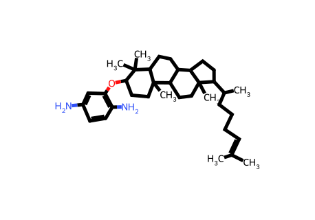 CC(C)=CCCCC(C)C1CCC2C3CCC4C(C)(C)C(Oc5cc(N)ccc5N)CCC4(C)C3CCC12C